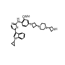 COc1cc(N2CC(N3CCN(C4CNC4)CC3)C2)ccc1Nc1nccc(-c2cn(C3CC3)c3ccccc23)n1